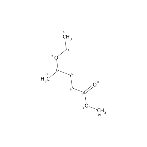 CCOC(C)CCC(=O)OC